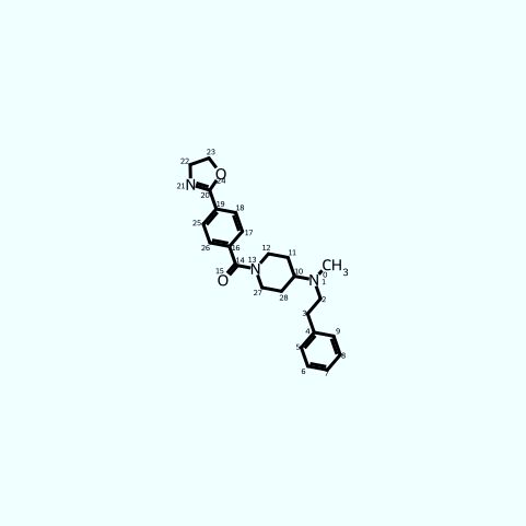 CN(CCc1ccccc1)C1CCN(C(=O)c2ccc(C3=NCCO3)cc2)CC1